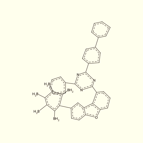 Bc1c(B)c(B)c(-c2ccc3oc4cccc(-c5nc(-c6ccccc6)nc(-c6ccc(-c7ccccc7)cc6)n5)c4c3c2)c(B)c1B